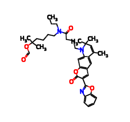 CCCN(CCCCC(C)(C)OC=O)C(=O)CCCN1c2cc3oc(=O)c(-c4nc5ccccc5o4)cc3cc2C(C)=CC1(C)C